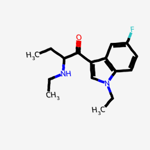 CCNC(CC)C(=O)c1cn(CC)c2ccc(F)cc12